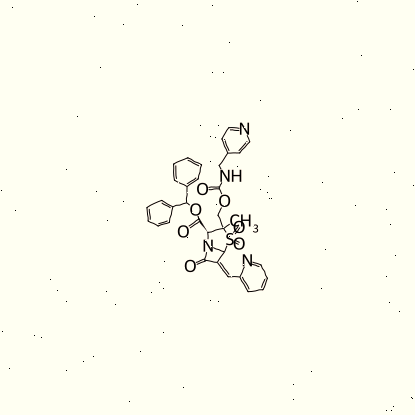 CC1(COC(=O)NCc2ccncc2)[C@H](C(=O)OC(c2ccccc2)c2ccccc2)N2C(=O)/C(=C/c3ccccn3)C2S1(=O)=O